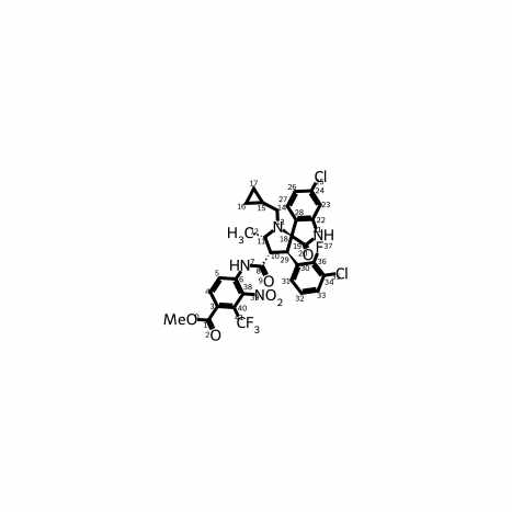 COC(=O)c1ccc(NC(=O)[C@@H]2[C@H](C)N(CC3CC3)[C@@]3(C(=O)Nc4cc(Cl)ccc43)[C@H]2c2cccc(Cl)c2F)c([N+](=O)[O-])c1C(F)(F)F